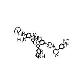 CC1(C)CCC(CN2CCN(c3ccc(C(=O)NS(=O)(=O)c4ccc(NC[C@@H]5CCCOC5)c(N)c4)c(Oc4cnc5[nH]ccc5c4)c3)CC2)=C(c2ccc(C(F)(F)F)cc2)C1